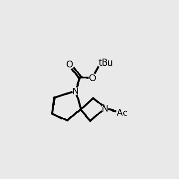 CC(=O)N1CC2(CCCN2C(=O)OC(C)(C)C)C1